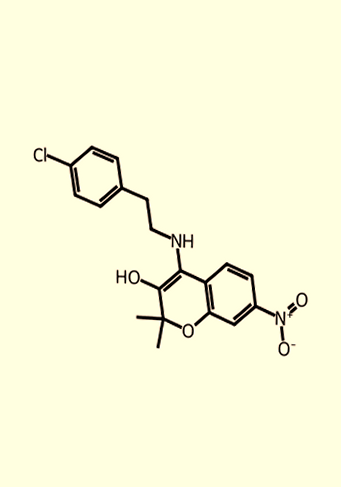 CC1(C)Oc2cc([N+](=O)[O-])ccc2C(NCCc2ccc(Cl)cc2)=C1O